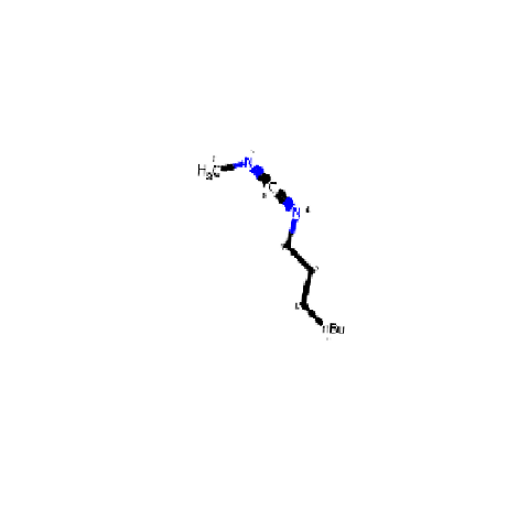 CCCCCCCN=C=NC